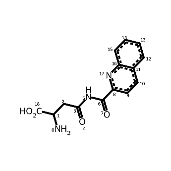 NC(CC(=O)NC(=O)c1ccc2ccccc2n1)C(=O)O